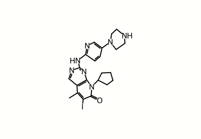 Cc1c(I)c(=O)n(C2CCCC2)c2nc(Nc3ccc(N4CCNCC4)cn3)ncc12